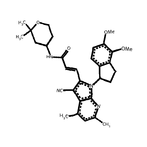 COc1ccc2c(c1OC)CCC2n1c(/C=C/C(=O)NC2CCOC(C)(C)C2)c(C#N)c2c(C)cc(C)nc21